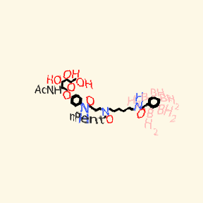 Bc1c(B)c(B)c(C(=O)NCCCCCCN(CCC(=O)Nc2ccc(OC3OC(CO)C(O)C(O)C3NC(C)=O)cc2)C(=O)CCCCC)c(B)c1B